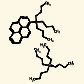 CCCC[B-](CCCC)(CCCC)c1ccc2ccc3cccc4ccc1c2c34.CCCC[N+](CCCC)(CCCC)CCCC